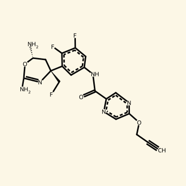 C#CCOc1cnc(C(=O)Nc2cc(F)c(F)c([C@@]3(CF)C[C@@H](N)OC(N)=N3)c2)cn1